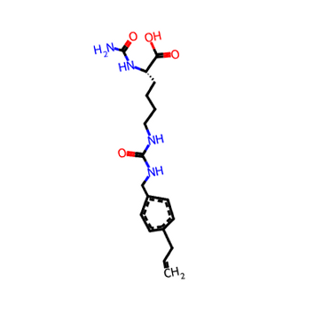 C=CCc1ccc(CNC(=O)NCCCC[C@H](NC(N)=O)C(=O)O)cc1